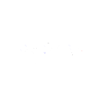 COc1cc(-c2cnc(C)n2C)ccc1Nc1cc2cc(-c3cnn([C@H](C)C(C)(C)O)c3)ccc2cn1